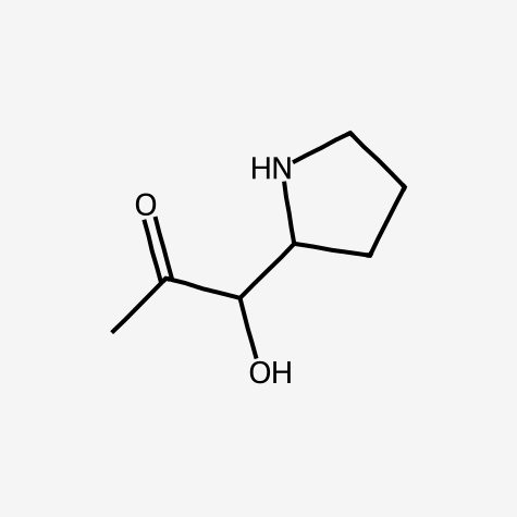 CC(=O)C(O)C1CCCN1